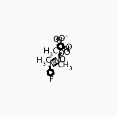 Cc1cc([N+](=O)[O-])cc([N+](=O)[O-])c1OCC(=O)N1C[C@@H](C)N(Cc2ccc(F)cc2)C[C@@H]1C